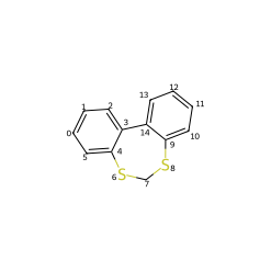 c1ccc2c(c1)SCSc1ccccc1-2